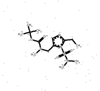 CCc1ncc(CN(C)C(=O)OC(C)(C)C)n1S(=O)(=O)N(C)C